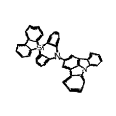 c1ccc2c(c1)-c1ccccc1[Si]21c2ccccc2N(c2cc3c4ccccc4n4c5ccccc5c(c2)c34)c2ccccc21